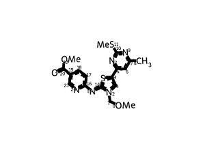 COCn1cc(-c2cc(C)nc(SC)n2)s/c1=N\c1ccc(C(=O)OC)cn1